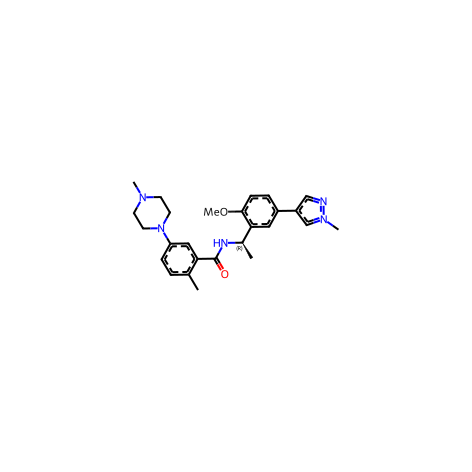 COc1ccc(-c2cnn(C)c2)cc1[C@@H](C)NC(=O)c1cc(N2CCN(C)CC2)ccc1C